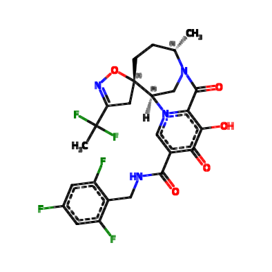 C[C@H]1CC[C@]2(CC(C(C)(F)F)=NO2)[C@H]2CN1C(=O)c1c(O)c(=O)c(C(=O)NCc3c(F)cc(F)cc3F)cn12